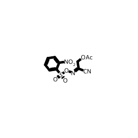 CC(=O)OCC(C#N)=NOS(=O)(=O)c1ccccc1[N+](=O)[O-]